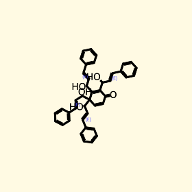 O=C1C=CC(C(O)/C=C/c2ccccc2)(C(O)/C=C/c2ccccc2)C(C(O)/C=C/c2ccccc2)=C1C(O)/C=C/c1ccccc1